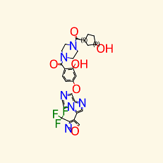 O=C(c1ccc(Oc2nccn3c(-c4conc4C(F)(F)F)cnc23)cc1O)N1CCN(C(=O)[C@H]2CC[C@@H](O)C2)CC1